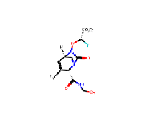 CCOC(=O)[C@H](F)ON1C(=O)N2C[C@H]1C=C(C)[C@H]2C(=O)NCO